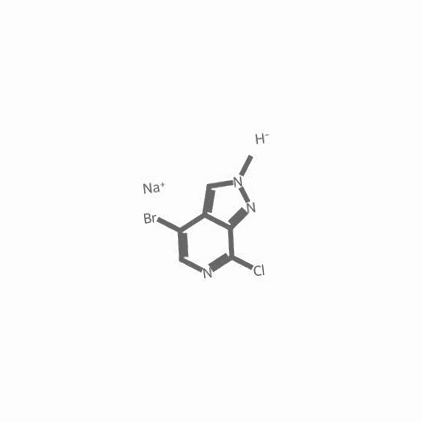 Cn1cc2c(Br)cnc(Cl)c2n1.[H-].[Na+]